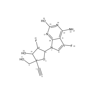 C#CC1(CO)OC(n2cc(F)c3c(N)nc(O)nc32)C(F)C1O